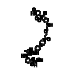 Cc1cnc(Nc2ccc(N3CCN(C(=O)CCOCCNc4ccc5c(c4)C(=O)N(C4CCC(=O)NC4=O)C5=O)CC3)cc2)nc1Nc1cccc(S(=O)(=O)NC(C)(C)C)c1